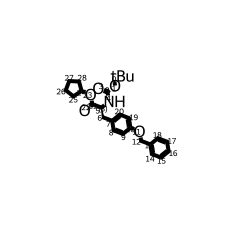 CC(C)(C)OC(=O)N[C@@H](Cc1ccc(OCc2ccccc2)cc1)C(=O)OC1CCCC1